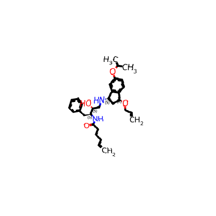 C=CCCCC(=O)N[C@@H](Cc1ccccc1)[C@@H](O)CN[C@H]1C[C@@H](OCC=C)c2ccc(OC(C)C)cc21